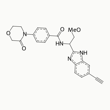 C#Cc1ccc2nc(C(COC)NC(=O)c3ccc(N4CCOCC4=O)cc3)[nH]c2c1